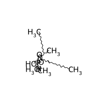 CCCCCCCCCCCC=CCCCN(CC(CO)[PH](=O)CCN(C)C)C(=O)CC(CCC)CCCCCCCCCCC